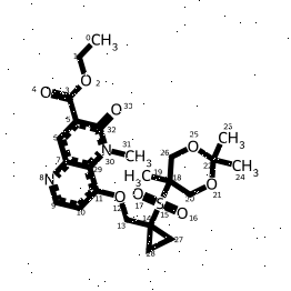 CCOC(=O)c1cc2nccc(OCC3(S(=O)(=O)C4(C)COC(C)(C)OC4)CC3)c2n(C)c1=O